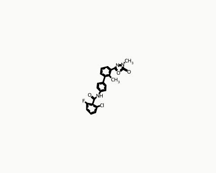 Cc1c(-c2ccc(NC(=O)c3c(F)cccc3Cl)cc2)cccc1-c1nn(C)c(=O)o1